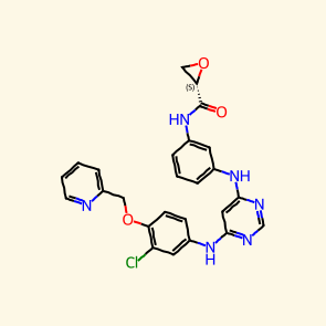 O=C(Nc1cccc(Nc2cc(Nc3ccc(OCc4ccccn4)c(Cl)c3)ncn2)c1)[C@@H]1CO1